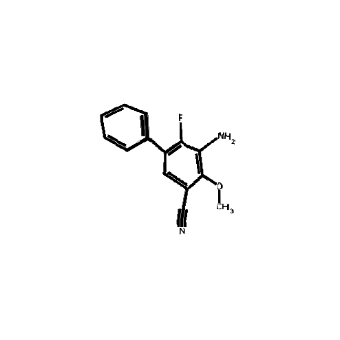 COc1c(C#N)cc(-c2ccccc2)c(F)c1N